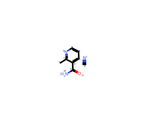 C#N.Cc1ncccc1C(N)=O